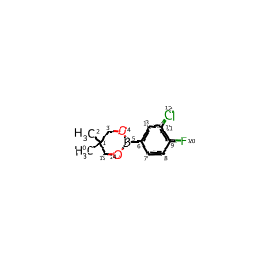 CC1(C)COB(c2ccc(F)c(Cl)c2)OC1